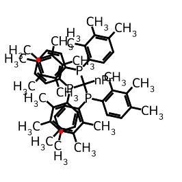 CCCC(P(c1ccc(C)c(C)c1C)c1ccc(C)c(C)c1C)(P(c1ccc(C)c(C)c1C)c1ccc(C)c(C)c1C)P(c1ccc(C)c(C)c1C)c1ccc(C)c(C)c1C